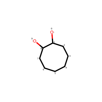 [O]C1CCCCCCC1[O]